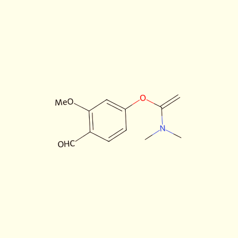 C=C(Oc1ccc(C=O)c(OC)c1)N(C)C